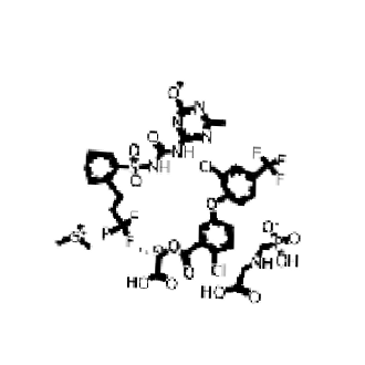 COc1nc(C)nc(NC(=O)NS(=O)(=O)c2ccccc2CCC(F)(F)F)n1.C[C@H](OC(=O)c1cc(Oc2ccc(C(F)(F)F)cc2Cl)ccc1Cl)C(=O)O.C[S+](C)C.O=C(O)CNCP(=O)([O-])O